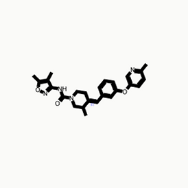 Cc1ccc(Oc2cccc(/C=C3\CCN(C(=O)Nc4noc(C)c4C)CC3C)c2)cn1